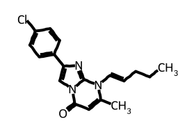 CCC/C=C/n1c(C)cc(=O)n2cc(-c3ccc(Cl)cc3)nc12